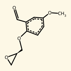 COc1ccc(OC[C@H]2CO2)c(C=O)c1